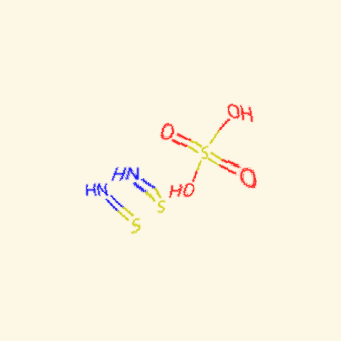 N=S.N=S.O=S(=O)(O)O